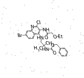 CCOCC(=O)Nc1c(Cl)nc2cc(Br)ccc2c1NCC(C)(C)NC(=O)OCc1ccccc1